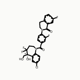 O=C1c2cc(F)ccc2CCN1c1ccc(C(=O)N2CCC(F)(F)[C@](O)(CO)c3cc(Cl)ccc32)cc1F